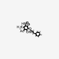 COc1c(OCCCc2ccccc2)c2c(c(C)c1C(C)=O)NOO2